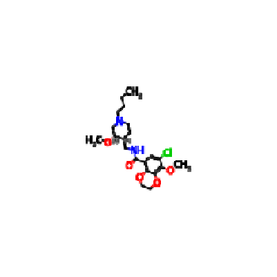 CCCCN1CC[C@@H](CNC(=O)c2cc(Cl)c(OC)c3c2OCCO3)[C@H](OC)C1